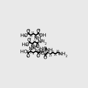 NC(=O)CC[C@H](N)C(=O)O.NC(=O)C[C@H](N)C(=O)O.NCCCC[C@H](NO)C(=O)O.N[C@@H](CCC(=O)O)C(=O)O